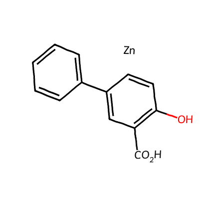 O=C(O)c1cc(-c2ccccc2)ccc1O.[Zn]